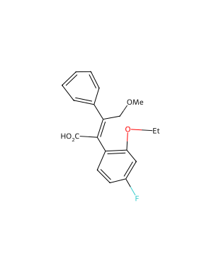 CCOc1cc(F)ccc1C(C(=O)O)=C(COC)c1ccccc1